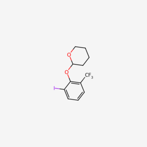 FC(F)(F)c1cccc(I)c1OC1CCCCO1